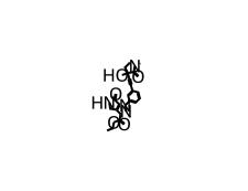 CCOC(=O)c1nn(-c2cccc(C#CC3(O)CCN(C)C3=O)c2)c2c1CNC2=O